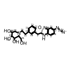 [N-]=[N+]=Nc1ccc(NCCc2cccc(CCN3CC(O)C(O)C(O)C3CO)c2)c([N+](=O)[O-])c1